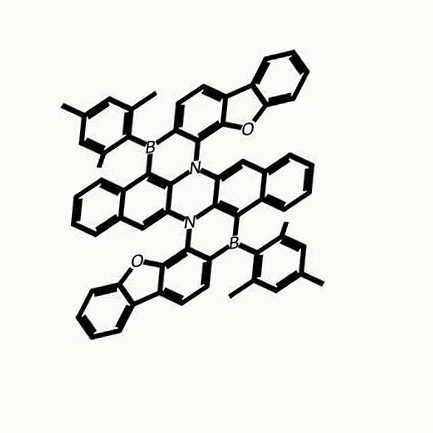 Cc1cc(C)c(B2c3ccc4c(oc5ccccc54)c3N3c4cc5ccccc5c5c4N(c4cc6ccccc6c2c43)c2c(ccc3c2oc2ccccc23)B5c2c(C)cc(C)cc2C)c(C)c1